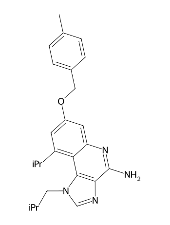 Cc1ccc(COc2cc(C(C)C)c3c(c2)nc(N)c2ncn(CC(C)C)c23)cc1